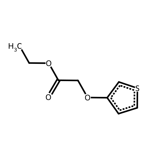 CCOC(=O)COc1ccsc1